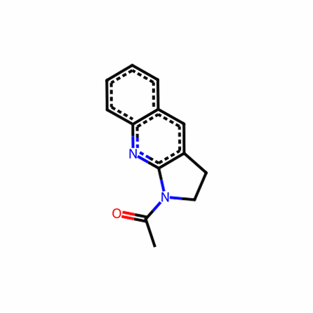 CC(=O)N1CCc2cc3ccccc3nc21